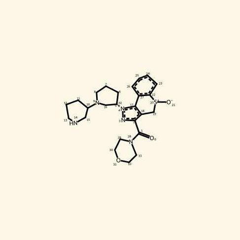 O=C(c1nn([C@H]2CCCN(C3CCCNC3)C2)c2c1C[S+]([O-])c1ccccc1-2)N1CCOCC1